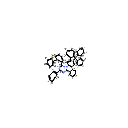 c1ccc(-c2nc(-c3ccccc3-c3ccc4c(c3)C3(c5ccccc5-c5ccccc53)c3ccccc3-4)nc(-c3cccc4sc5ccccc5c34)n2)cc1